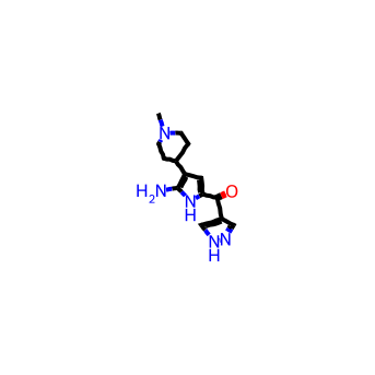 CN1CCC(c2cc(C(=O)c3cn[nH]c3)[nH]c2N)CC1